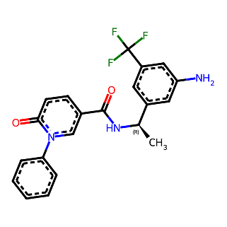 C[C@@H](NC(=O)c1ccc(=O)n(-c2ccccc2)c1)c1cc(N)cc(C(F)(F)F)c1